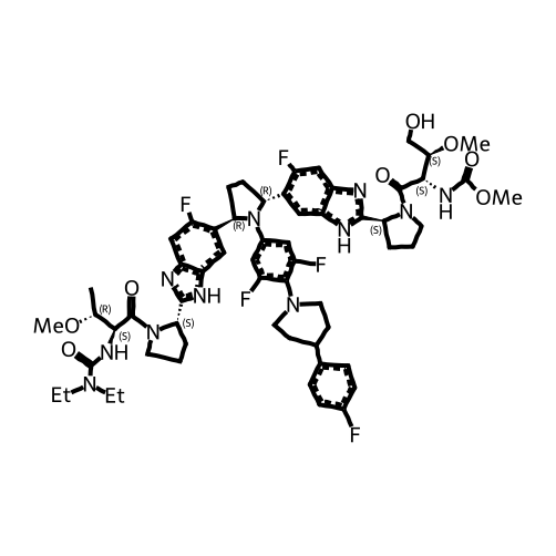 CCN(CC)C(=O)N[C@H](C(=O)N1CCC[C@H]1c1nc2cc(F)c([C@H]3CC[C@H](c4cc5[nH]c([C@@H]6CCCN6C(=O)[C@@H](NC(=O)OC)[C@@H](CO)OC)nc5cc4F)N3c3cc(F)c(N4CCC(c5ccc(F)cc5)CC4)c(F)c3)cc2[nH]1)[C@@H](C)OC